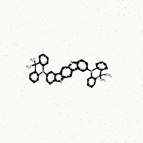 CC1(C)c2ccccc2N(c2ccc3sc4cc5c(cc4c3c2)sc2ccc(N3c4ccccc4C(C)(C)c4ccccc43)cc25)c2ccccc21